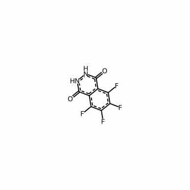 O=c1[nH][nH]c(=O)c2c(F)c(F)c(F)c(F)c12